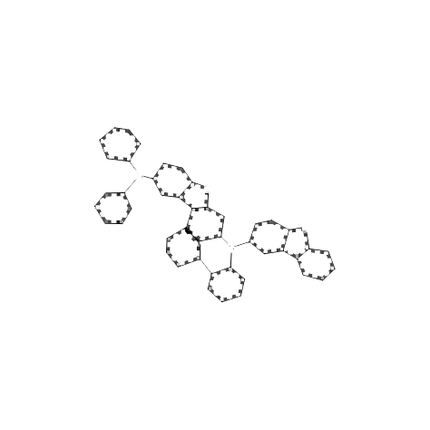 c1ccc(-c2ccccc2N(c2ccc3c(c2)sc2ccc(N(c4ccccc4)c4ccccc4)cc23)c2ccc3sc4ccccc4c3c2)cc1